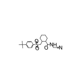 CC(C)(C)c1ccc(S(=O)(=O)CC2CCCCC2C(=O)NCC#N)cc1